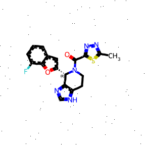 Cc1nnc(C(=O)N2CCc3[nH]cnc3[C@@H]2c2cc3cccc(F)c3o2)s1